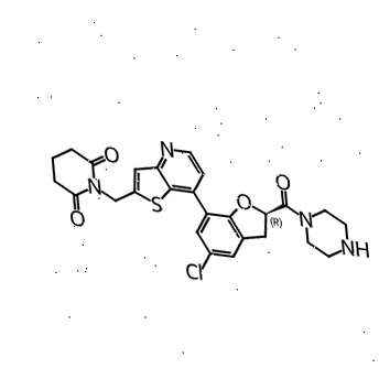 O=C([C@H]1Cc2cc(Cl)cc(-c3ccnc4cc(CN5C(=O)CCCC5=O)sc34)c2O1)N1CCNCC1